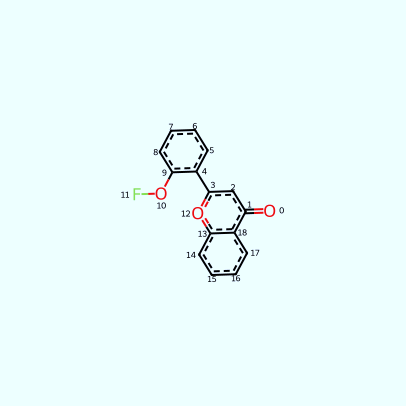 O=c1cc(-c2ccccc2OF)oc2ccccc12